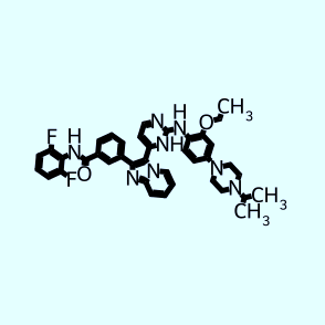 CCOc1cc(N2CCN(C(C)C)CC2)ccc1NC1N=CC=C(c2c(-c3cccc(C(=O)Nc4c(F)cccc4F)c3)nc3ccccn23)N1